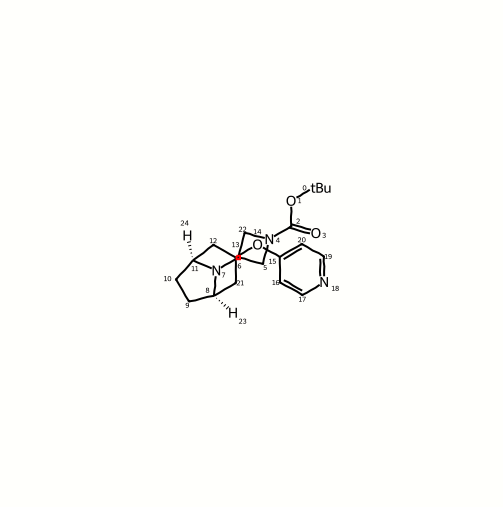 CC(C)(C)OC(=O)N1CC(N2[C@@H]3CC[C@H]2CC(Oc2ccncc2)C3)C1